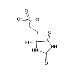 CCC1(CCS(=O)(=O)Cl)NC(=O)NC1=O